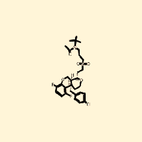 CC(=O)N(CCCS(=O)(=O)CC[C@@H]1OCC[C@@]2(Cc3ccc(Cl)cc3)c3c(F)ccc(F)c3OC[C@@H]12)C(C)(C)C